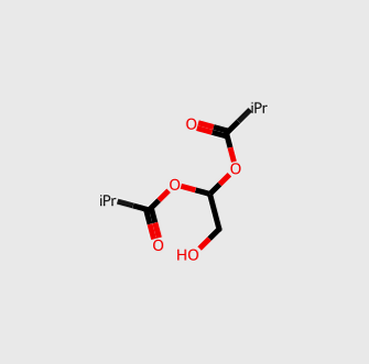 CC(C)C(=O)OC(CO)OC(=O)C(C)C